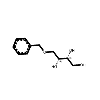 OC[C@@H](O)[C@H](O)COCc1ccccc1